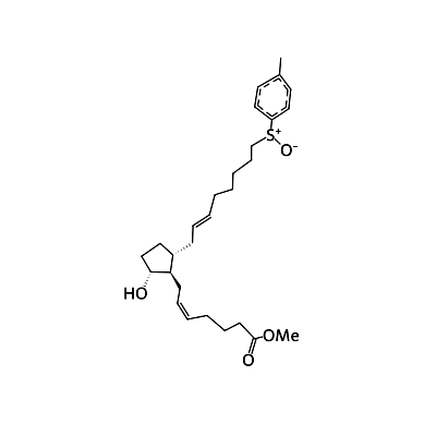 COC(=O)CCC/C=C\C[C@@H]1[C@@H](C/C=C/CCCCC[S+]([O-])c2ccc(C)cc2)CC[C@H]1O